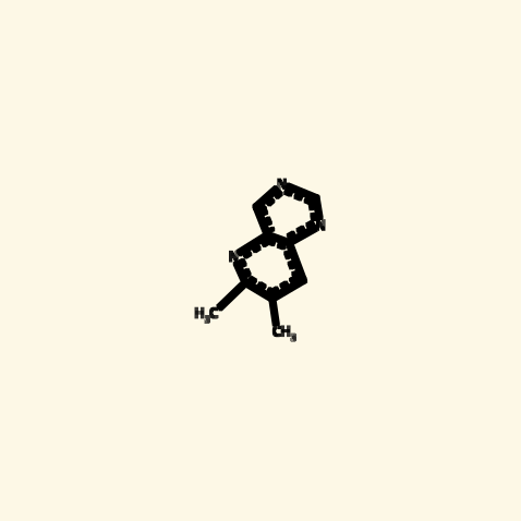 Cc1cc2ncncc2nc1C